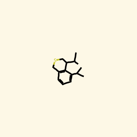 CC(C)c1cccc2c1C(C(C)C)CSC2